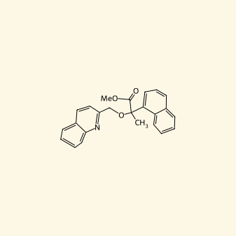 COC(=O)C(C)(OCc1ccc2ccccc2n1)c1cccc2ccccc12